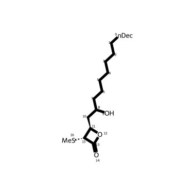 CCCCCCCCCCCCCCCCCC(O)C[C@H]1OC(=O)[C@@H]1SC